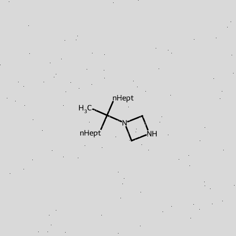 CCCCCCCC(C)(CCCCCCC)N1CNC1